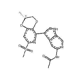 CC(=O)Nc1cc2c(-c3nc(S(C)(=O)=O)cc4c3OC[C@@H](C)O4)c[nH]c2cn1